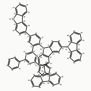 c1ccc(-c2nc(-c3ccccc3)nc(-c3cc(-c4ccc5oc6ccccc6c5c4)ccc3-n3c4ccc(-n5c6ccccc6c6ccccc65)cc4c4cc(-n5c6ccccc6c6ccccc65)ccc43)n2)cc1